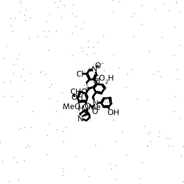 COc1ccc([C@H](Cc2c(Cl)c[n+]([O-])cc2Cl)c2c(CN(C(=O)O[C@H]3CN4CCC3CC4)c3cccc(O)c3)cccc2C(=O)O)cc1OC.O=CO